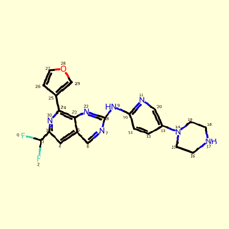 FC(F)c1cc2cnc(Nc3ccc(N4CCNCC4)cn3)nc2c(-c2ccoc2)n1